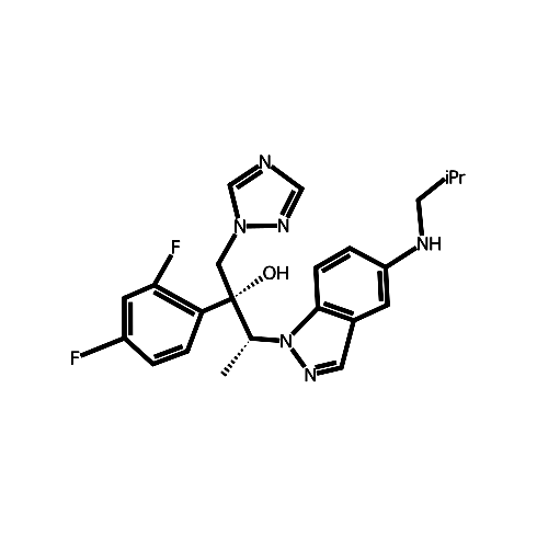 CC(C)CNc1ccc2c(cnn2[C@H](C)[C@](O)(Cn2cncn2)c2ccc(F)cc2F)c1